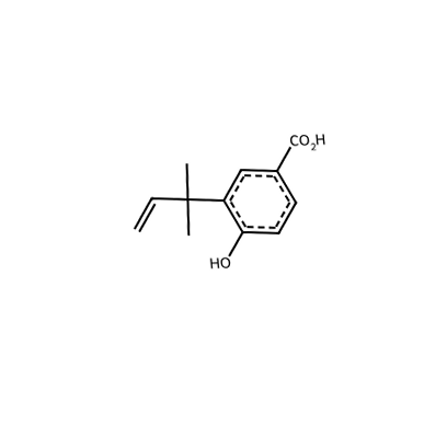 C=CC(C)(C)c1cc(C(=O)O)ccc1O